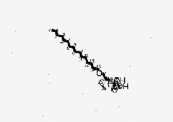 CCCCCCCCCCCCCCCCOCC(COP(=O)(O)O)OC